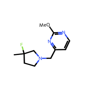 COc1nccc(CN2CCC(C)(F)C2)n1